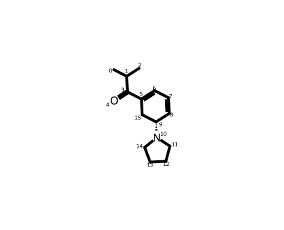 CC(C)C(=O)C1=CC=C[C@H](N2CCCC2)C1